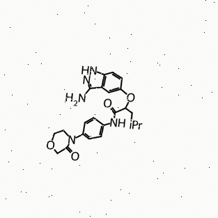 CC(C)CC(Oc1ccc2[nH]nc(N)c2c1)C(=O)Nc1ccc(N2CCOCC2=O)cc1